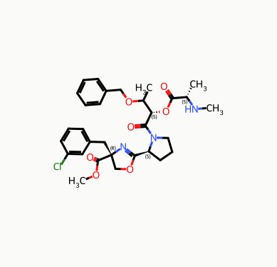 CN[C@@H](C)C(=O)O[C@H](C(=O)N1CCC[C@H]1C1=N[C@@](Cc2cccc(Cl)c2)(C(=O)OC)CO1)C(C)OCc1ccccc1